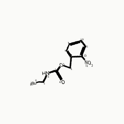 CCC(C)CNC(=O)OCc1ccccc1[N+](=O)[O-]